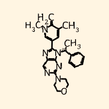 C=C1C(C)=CC(c2nc3cnc(N4CCOCC4)nc3n2[C@@H](C)c2ccccc2)=CN1C